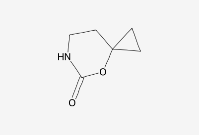 O=C1NCCC2(CC2)O1